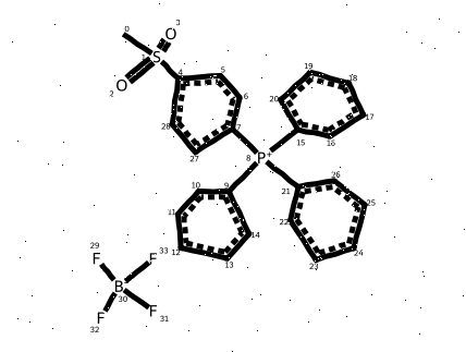 CS(=O)(=O)c1ccc([P+](c2ccccc2)(c2ccccc2)c2ccccc2)cc1.F[B-](F)(F)F